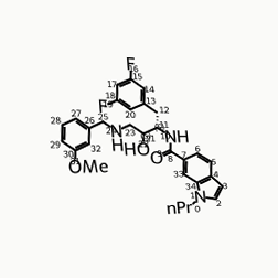 CCCn1ccc2ccc(C(=O)N[C@@H](Cc3cc(F)cc(F)c3)[C@@H](O)CNCc3cccc(OC)c3)cc21